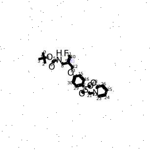 CC(C)(C)OC(=O)NC/C(=C\F)COc1ccc(S(=O)(=O)Cn2ccccc2=O)cc1